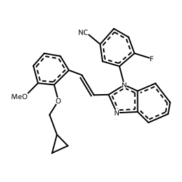 COc1cccc(C=Cc2nc3ccccc3n2-c2cc(C#N)ccc2F)c1OCC1CC1